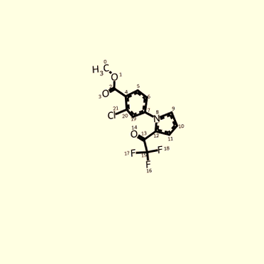 COC(=O)c1ccc(-n2cccc2C(=O)C(F)(F)F)cc1Cl